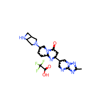 Cc1nc2ncc(-c3cc(=O)n4cc(N5CC6CNC6C5)ccc4n3)cn2n1.O=C(O)C(F)(F)F